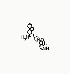 C1=CC=CNC=C1.CC(=O)N1CCC(C2CC3=C(CCc4c3ccc3ccccc43)C(N)C2)CC1